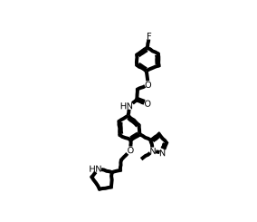 Cn1nccc1-c1cc(NC(=O)COc2ccc(F)cc2)ccc1OCCC1CCCN1